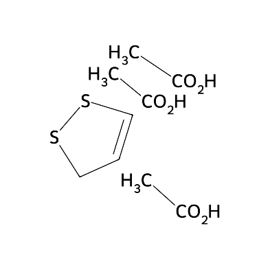 C1=CSSC1.CC(=O)O.CC(=O)O.CC(=O)O